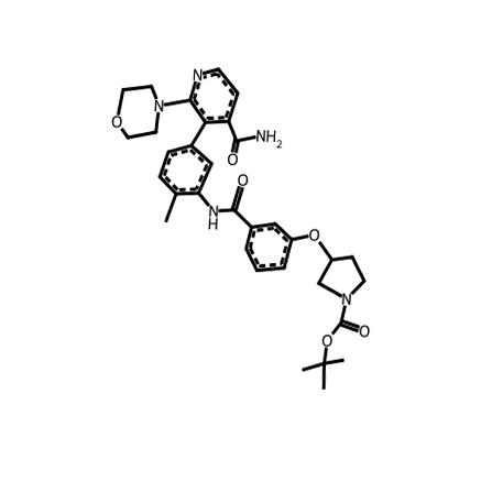 Cc1ccc(-c2c(C(N)=O)ccnc2N2CCOCC2)cc1NC(=O)c1cccc(OC2CCN(C(=O)OC(C)(C)C)C2)c1